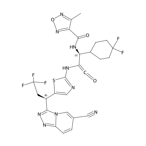 Cc1nonc1C(=O)N[C@H](C(=C=O)Nc1ncc([C@H](CC(F)(F)F)c2nnc3ccc(C#N)cn23)s1)C1CCC(F)(F)CC1